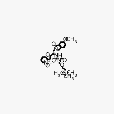 COc1ccc2c(c1)C(=O)N(C[C@H](NC(=O)N(C=O)COCC[Si](C)(C)C)c1cc3c(ccc[n+]3[O-])o1)C2